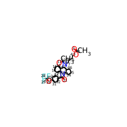 CC(=O)OCCCCN(C(C)=O)C1c2ccccc2N(C(=O)c2ccc(OC(F)(F)F)cc2)C2CCCC12